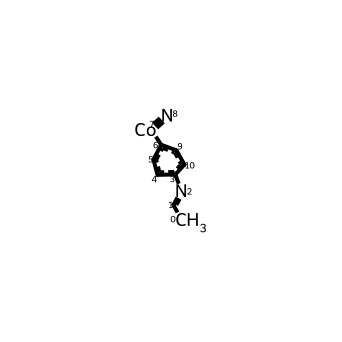 CC=Nc1cc[c]([Co]#[N])cc1